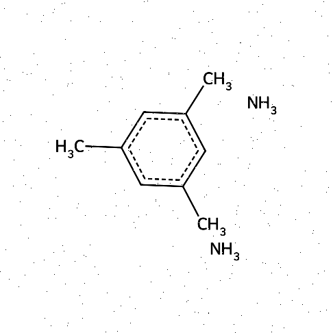 Cc1cc(C)cc(C)c1.N.N